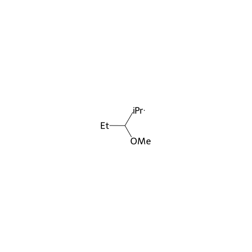 CCC(OC)[C](C)C